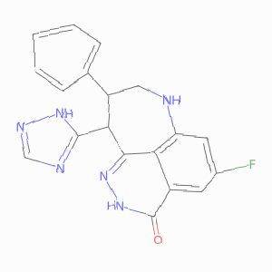 O=c1[nH]nc2c3c(cc(F)cc13)NCC(c1ccccc1)C2c1ncn[nH]1